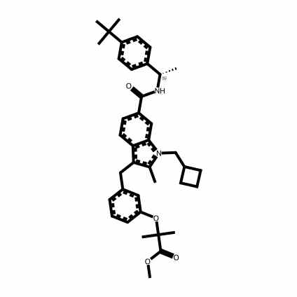 COC(=O)C(C)(C)Oc1cccc(Cc2c(C)n(CC3CCC3)c3cc(C(=O)N[C@@H](C)c4ccc(C(C)(C)C)cc4)ccc23)c1